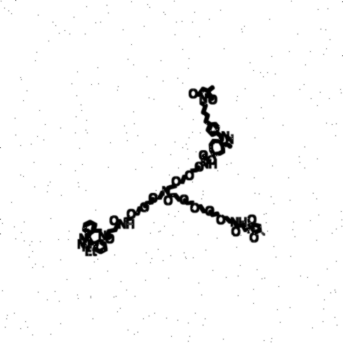 CCn1nnc2c1-c1ccccc1N(C(=O)CCC(=O)NCCOCCOCCOCCN(CCOCCOCCONC(=O)O[C@H]1CCCc3c(-c4ccc(CCCCCN5C(=O)CC(C)C5=O)cc4)nnc(C)c3CC1)C(=O)CCOCCOCCOCCOCCNC(=O)CCN1C(=O)C[C@H](C)C1=O)Cc1ccccc1-2